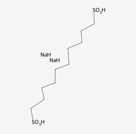 O=S(=O)(O)CCCCCCCCCCS(=O)(=O)O.[NaH].[NaH]